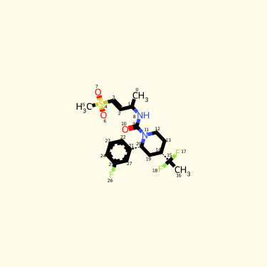 CC(/C=C/S(C)(=O)=O)NC(=O)N1CC[C@H](C(C)(F)F)C[C@@H]1c1cccc(F)c1